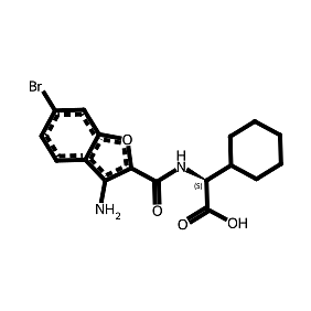 Nc1c(C(=O)N[C@H](C(=O)O)C2CCCCC2)oc2cc(Br)ccc12